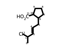 CC(Cl)C=CCC1CCCC1C(=O)O